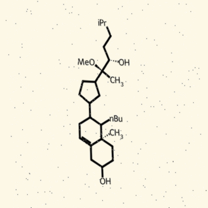 CCCCC1C(C2CCC([C@](C)(OC)[C@@H](O)CCC(C)C)C2)CC=C2CC(O)CC[C@@]21C